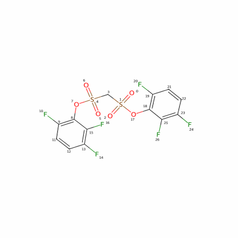 O=S(=O)(CS(=O)(=O)Oc1c(F)ccc(F)c1F)Oc1c(F)ccc(F)c1F